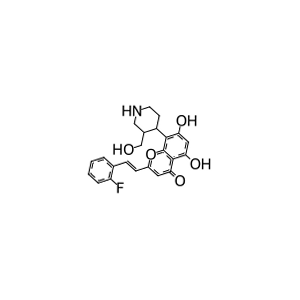 O=c1cc(C=Cc2ccccc2F)oc2c(C3CCNCC3CO)c(O)cc(O)c12